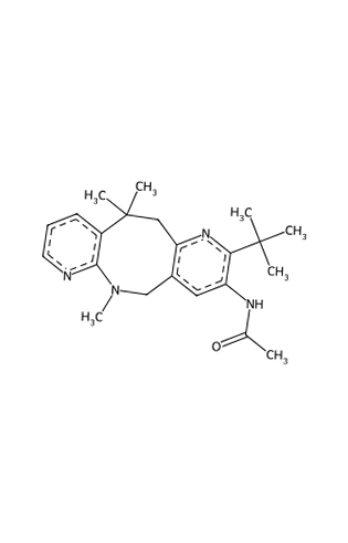 CC(=O)Nc1cc2c(nc1C(C)(C)C)CC(C)(C)c1cccnc1N(C)C2